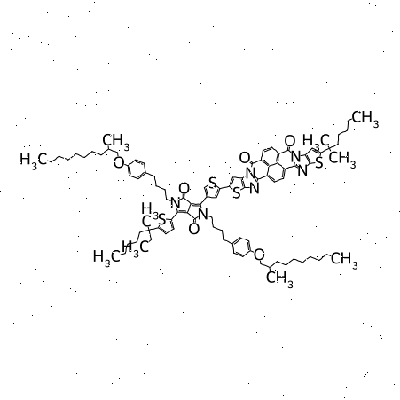 CCCCCCCCC(C)COc1ccc(CCCCN2C(=O)C3=C(c4ccc(C(C)(CC)CCCCC)s4)N(CCCCc4ccc(OCC(C)CCCCCCCC)cc4)C(=O)C3=C2c2csc(-c3cc4c(nc5c6ccc7c8c(ccc(c(=O)n45)c68)c(=O)n4c5cc(C(C)(C)CCCCC)sc5nc74)s3)c2)cc1